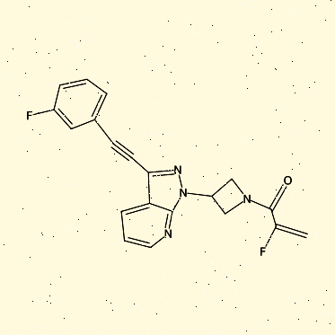 C=C(F)C(=O)N1CC(n2nc(C#Cc3cccc(F)c3)c3cccnc32)C1